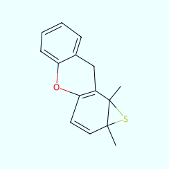 CC12C=CC3=C(Cc4ccccc4O3)C1(C)S2